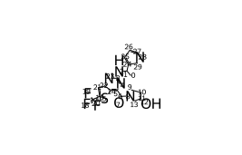 CC(Nc1nc(C(=O)N2CC[C@H](O)C2)c2sc(C(F)(F)F)cc2n1)c1cccnc1